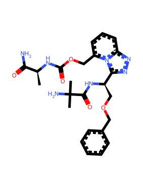 C[C@H](NC(=O)OCc1cccc2nnc([C@@H](COCc3ccccc3)NC(=O)C(C)(C)N)n12)C(N)=O